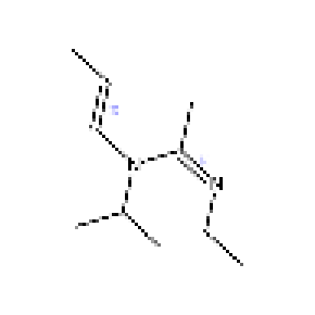 C/C=C/N(/C(C)=N\CC)C(C)C